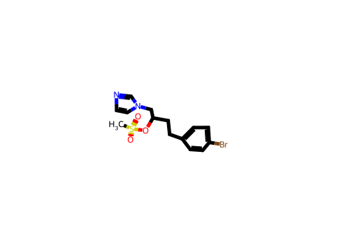 CS(=O)(=O)OC(CCc1ccc(Br)cc1)Cn1ccnc1